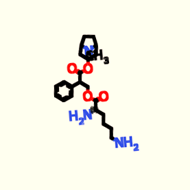 CN1C2CCC1CC(OC(=O)C(COC(=O)[C@@H](N)CCCCN)c1ccccc1)C2